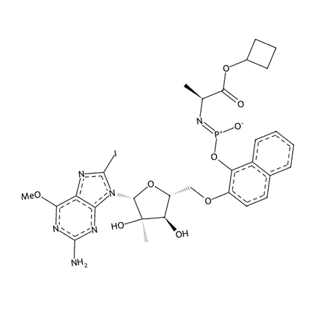 COc1nc(N)nc2c1nc(I)n2[C@@H]1O[C@H](COc2ccc3ccccc3c2O/[P+]([O-])=N/[C@@H](C)C(=O)OC2CCC2)[C@@H](O)[C@@]1(C)O